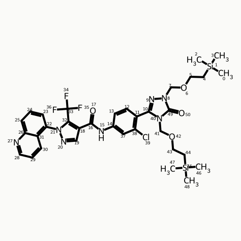 C[Si](C)(C)CCOCn1nc(-c2ccc(NC(=O)c3cnn(-c4cccc5ncccc45)c3C(F)(F)F)cc2Cl)n(COCC[Si](C)(C)C)c1=O